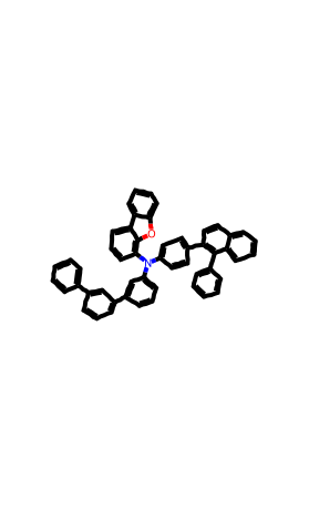 c1ccc(-c2cccc(-c3cccc(N(c4ccc(-c5ccc6ccccc6c5-c5ccccc5)cc4)c4cccc5c4oc4ccccc45)c3)c2)cc1